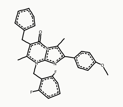 COc1ccc(-c2nc3n(Cc4c(F)cccc4F)c(C)c(Cc4ccccc4)c(=O)n3c2C)cc1